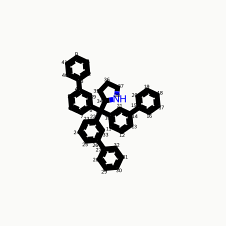 c1ccc(-c2cccc(C(c3cccc(-c4ccccc4)c3)(c3cccc(-c4ccccc4)c3)C3CCCN3)c2)cc1